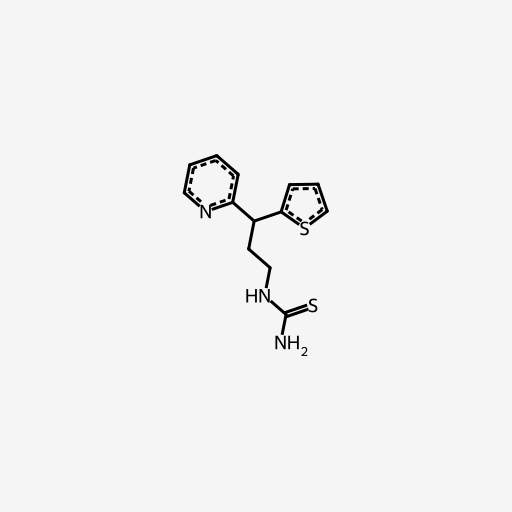 NC(=S)NCCC(c1ccccn1)c1cccs1